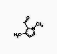 Cc1ccn(C)c1[C]=O